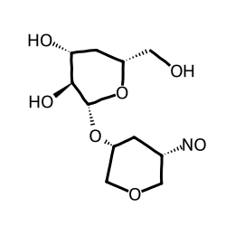 O=N[C@@H]1COC[C@H](O[C@H]2O[C@@H](CO)C[C@@H](O)[C@@H]2O)C1